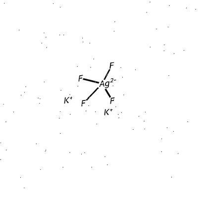 [F][Ag-2]([F])([F])[F].[K+].[K+]